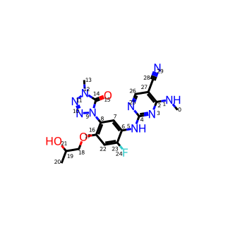 CNc1nc(Nc2cc(-n3nnn(C)c3=O)c(OCC(C)O)cc2F)ncc1C#N